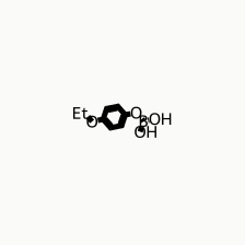 CCOc1ccc(OB(O)O)cc1